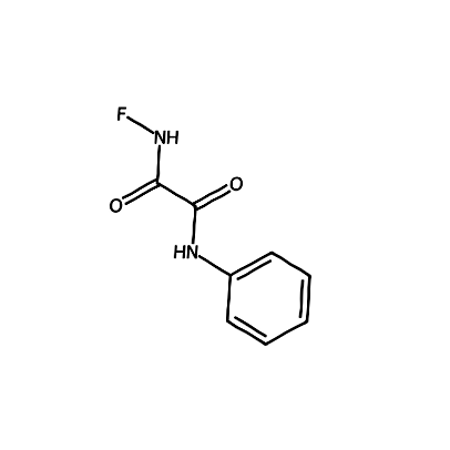 O=C(NF)C(=O)Nc1ccccc1